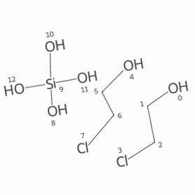 OCCCl.OCCCl.O[Si](O)(O)O